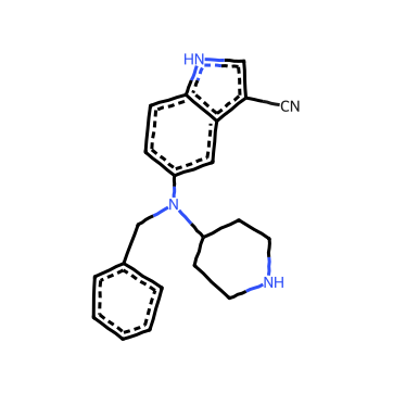 N#Cc1c[nH]c2ccc(N(Cc3ccccc3)C3CCNCC3)cc12